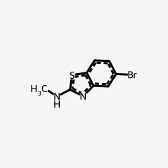 CNc1nc2cc(Br)ccc2s1